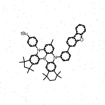 Cc1cc2c3c(c1)N(c1ccc(C(C)(C)C)cc1)c1cc4c(cc1B3c1cc3c(cc1N2c1cccc(-c2ccc5c(c2)oc2ccccc25)c1)C(C)(C)CCC3(C)C)C(C)(C)CC4(C)C